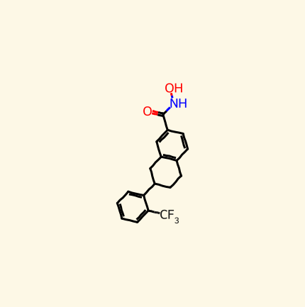 O=C(NO)c1ccc2c(c1)CC(c1ccccc1C(F)(F)F)CC2